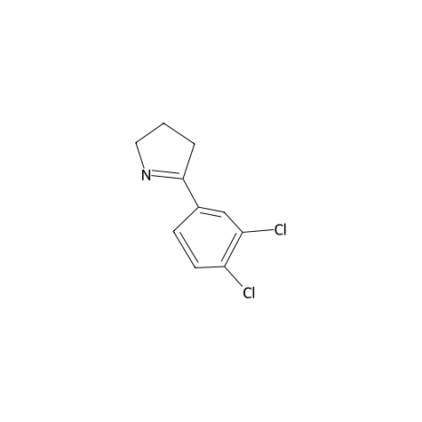 Clc1ccc(C2=NCCC2)cc1Cl